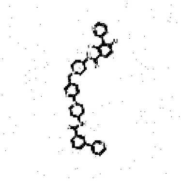 O=C(NC1CCN(c2ccc(CN3CCC(NC(=O)c4ccc(Cl)c(-c5cccnc5)c4Cl)CC3)cn2)CC1)c1cccc(-c2cccnc2)c1